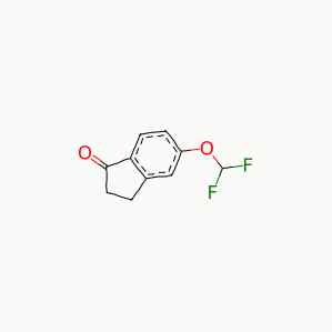 O=C1CCc2cc(OC(F)F)ccc21